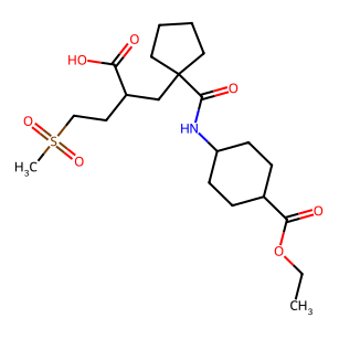 CCOC(=O)C1CCC(NC(=O)C2(CC(CCS(C)(=O)=O)C(=O)O)CCCC2)CC1